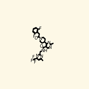 Cc1cc(C(F)(F)F)nc(CNC(=O)c2cnc(C)nc2C2CCN(C(=O)Cc3c(F)cccc3F)CC2)n1